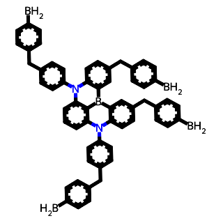 Bc1ccc(Cc2ccc(N3c4ccc(Cc5ccc(B)cc5)cc4B4c5cc(Cc6ccc(B)cc6)ccc5N(c5ccc(Cc6ccc(B)cc6)cc5)c5cccc3c54)cc2)cc1